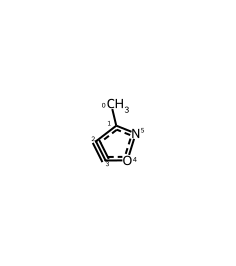 Cc1c#con1